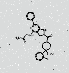 COC1(c2ccccc2Cl)CCN(C(=O)C2Cc3c(NCC(N)=O)nc(-c4ccccc4)nc3N2)CC1